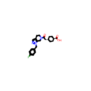 O=C(C[C@H]1CC[C@H](C(=O)O)CC1)N1CCc2cnn(Cc3ccc(F)cc3)c2C1